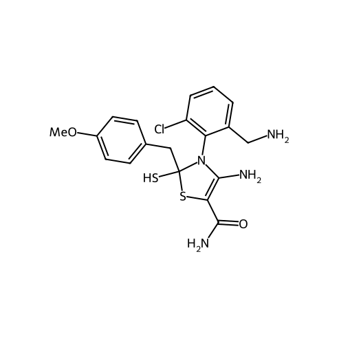 COc1ccc(CC2(S)SC(C(N)=O)=C(N)N2c2c(Cl)cccc2CN)cc1